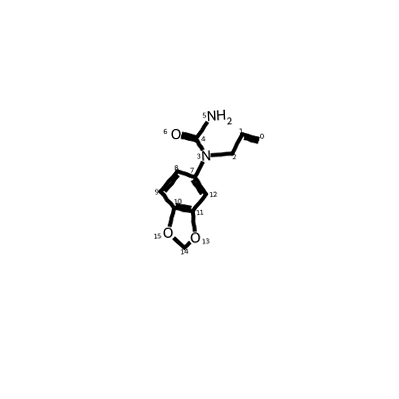 C=CCN(C(N)=O)c1ccc2c(c1)OCO2